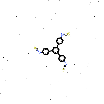 S=C=Nc1ccc(-c2cc(-c3ccc(N=C=S)cc3)cc(-c3ccc(N=C=S)cc3)c2)cc1